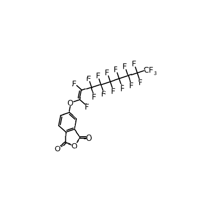 O=C1OC(=O)c2cc(OC(F)=C(F)C(F)(F)C(F)(F)C(F)(F)C(F)(F)C(F)(F)C(F)(F)C(F)(F)F)ccc21